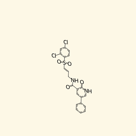 O=C(NC/C=C/S(=O)(=O)c1ccc(Cl)cc1Cl)c1cc(-c2ccccc2)c[nH]c1=O